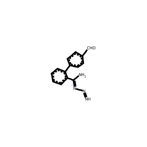 N=N/N=C(\N)c1ccccc1-c1ccc(C=O)cc1